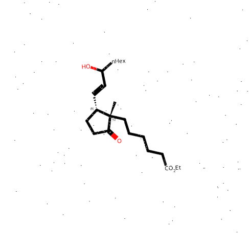 CCCCCCC(O)C=C[C@H]1CCC(=O)[C@@]1(C)CCCCCC(=O)OCC